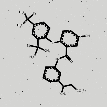 CCOC(=O)CC(C)c1cccc(NC(=O)c2cc(O)ccc2Oc2ccc(C(C)(C)CC)cc2C(C)(C)CC)c1